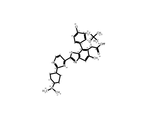 Cc1cc2nc(-c3ccnc(C4CCC(N(C)C)CC4)n3)sc2c(-c2ccc(Cl)cc2)c1[C@H](OC(C)(C)C)C(=O)O